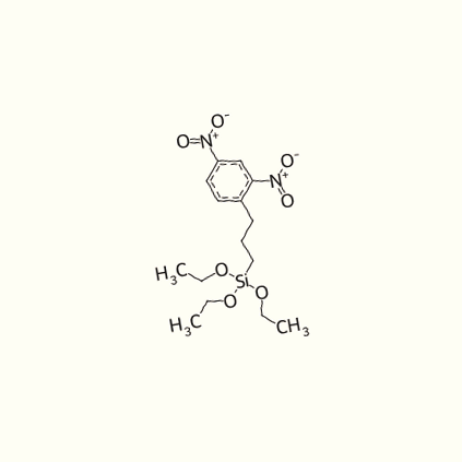 CCO[Si](CCCc1ccc([N+](=O)[O-])cc1[N+](=O)[O-])(OCC)OCC